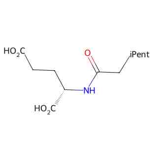 CCCC(C)CC(=O)N[C@@H](CCC(=O)O)C(=O)O